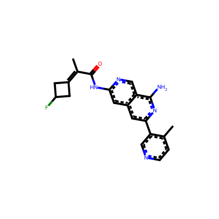 CC(C(=O)Nc1cc2cc(-c3cnccc3C)nc(N)c2cn1)=C1CC(F)C1